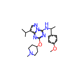 COc1ccc(C(C)Nc2nc(OC3CCN(C)CC3)nc3c(C(C)C)cnn23)cc1